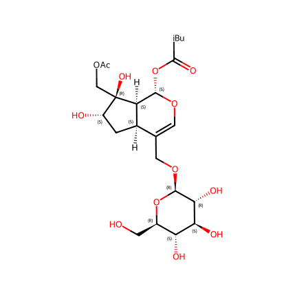 CCC(C)C(=O)O[C@@H]1OC=C(CO[C@@H]2O[C@H](CO)[C@@H](O)[C@H](O)[C@H]2O)[C@H]2C[C@H](O)[C@](O)(COC(C)=O)[C@@H]12